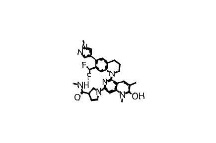 CNC(=O)C1CCN(c2cc3c(c(N4CCCc5cc(-c6cnn(C)c6)c(C(F)F)cc54)n2)C=C(C)C(O)N3C)C1